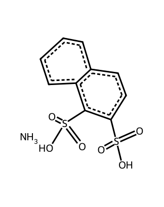 N.O=S(=O)(O)c1ccc2ccccc2c1S(=O)(=O)O